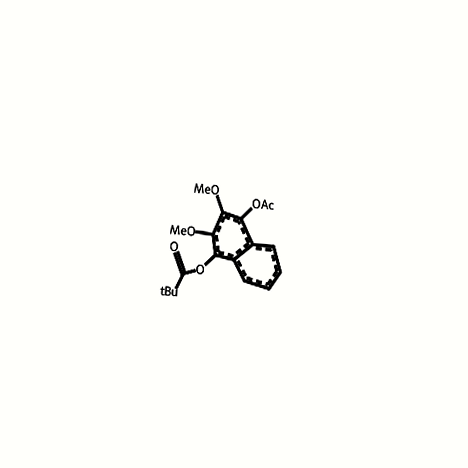 COc1c(OC)c(OC(=O)C(C)(C)C)c2ccccc2c1OC(C)=O